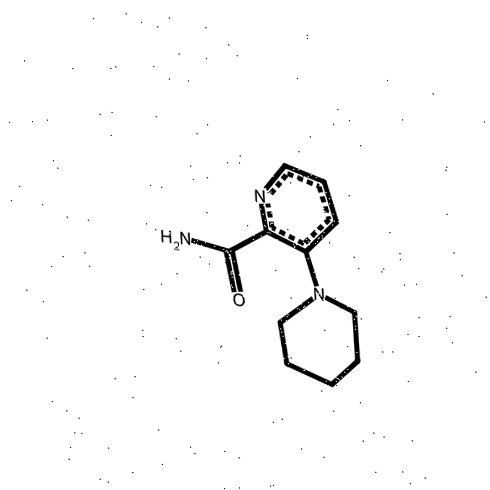 NC(=O)c1ncccc1N1CCCCC1